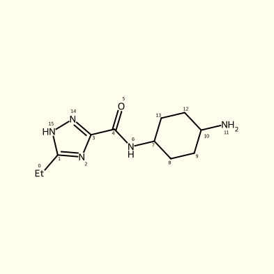 CCc1nc(C(=O)NC2CCC(N)CC2)n[nH]1